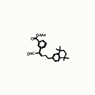 COC(=O)c1cccc(C(C=O)=CCCc2ccc3c(c2)C(C)(C)CCC3(C)C)c1